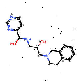 OC(NC[C@H](O)CN1CCc2ccccc2C1)c1ccncn1